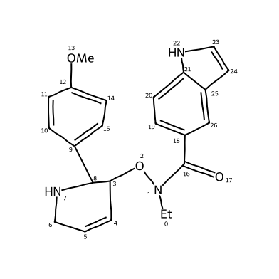 CCN(OC1C=CCNC1c1ccc(OC)cc1)C(=O)c1ccc2[nH]ccc2c1